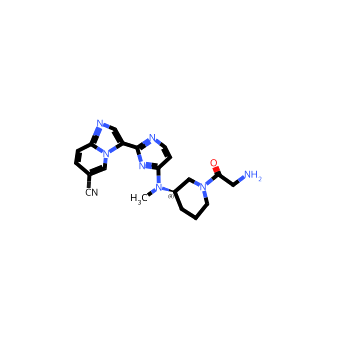 CN(c1ccnc(-c2cnc3ccc(C#N)cn23)n1)[C@@H]1CCCN(C(=O)CN)C1